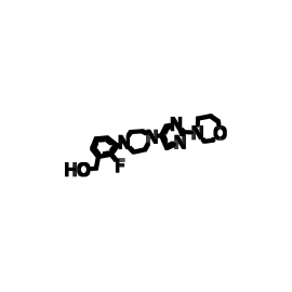 OCc1cccc(N2CCN(c3cnc(N4CCCOCC4)nc3)CC2)c1F